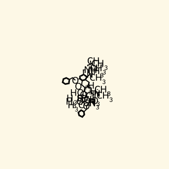 CN(C)c1c(CNCC(C)(C)C)cc(OCc2ccccc2)c2c1C[C@H]1C[C@H]3[C@H](N(C)C)c4onc(OCc5ccccc5)c4C(=O)C3(O[Si](C)(C)C(C)(C)C)C(O)=C1C2=O